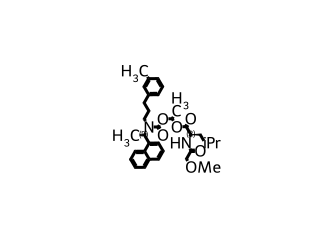 COCC(=O)N[C@H](CC(C)C)C(=O)OC(C)OC(=O)N(CCCc1cccc(C)c1)[C@H](C)c1cccc2ccccc12